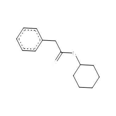 O=C(Cc1ccccc1)[N]C1CCCCC1